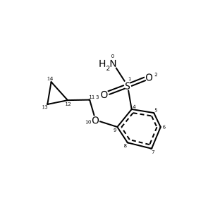 NS(=O)(=O)c1ccccc1OCC1CC1